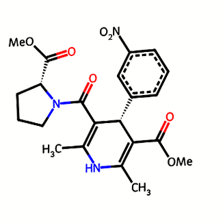 COC(=O)C1=C(C)NC(C)=C(C(=O)N2CCC[C@@H]2C(=O)OC)[C@@H]1c1cccc([N+](=O)[O-])c1